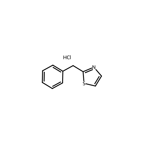 Cl.c1ccc(Cc2nccs2)cc1